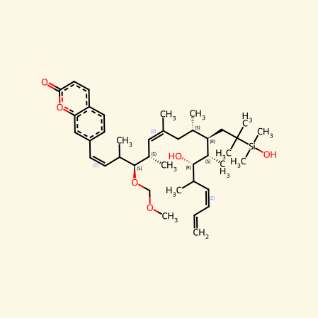 C=C/C=C\C(C)[C@H](O)[C@@H](C)[C@H](CC(C)(C)[Si](C)(C)O)[C@@H](C)C/C(C)=C\[C@H](C)[C@@H](OCOC)C(C)/C=C\c1ccc2ccc(=O)oc2c1